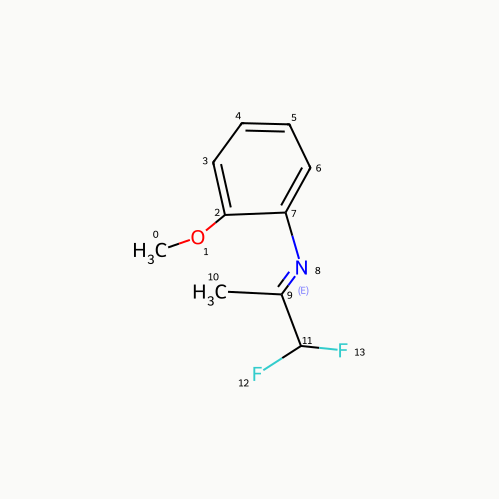 COc1ccccc1/N=C(\C)C(F)F